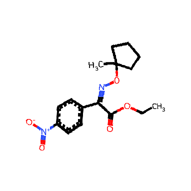 CCOC(=O)/C(=N\OC1(C)CCCC1)c1ccc([N+](=O)[O-])cc1